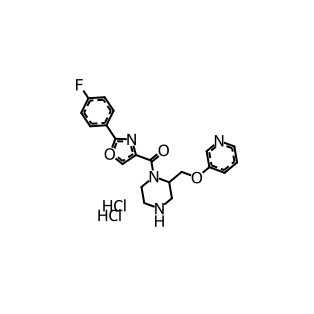 Cl.Cl.O=C(c1coc(-c2ccc(F)cc2)n1)N1CCNCC1COc1cccnc1